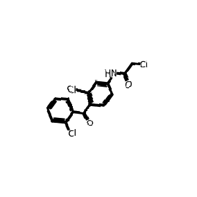 O=C(CCl)Nc1ccc(C(=O)c2ccccc2Cl)c(Cl)c1